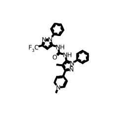 Cc1c(C2=CCN(C)C=C2)nn(-c2ccccc2)c1NC(=O)Nc1cc(C(F)(F)F)nn1-c1ccccc1